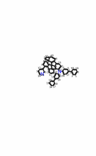 c1ccc(-c2ccc(N(c3ccc(-c4ccccc4)cc3)c3ccc4c(c3)C3(c5ccccc5-c5c(-c6cccnc6)cccc53)c3c-4ccc4ccccc34)cc2)cc1